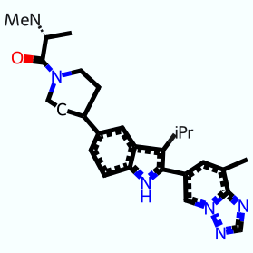 CN[C@H](C)C(=O)N1CCC(c2ccc3[nH]c(-c4cc(C)c5ncnn5c4)c(C(C)C)c3c2)CC1